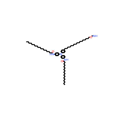 CCCCCCCCCCCCCCCCCC(=O)Nc1ccc(N(c2ccc(CCCCCCCCCCCCCCCCCOC=N)cc2)c2ccc(NC(=O)CCCCCCCCCCCCCCCCC)cc2)cc1